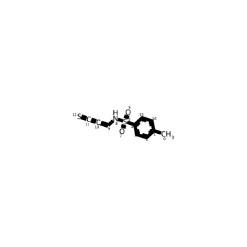 Cc1ccc(S(=O)(=O)NC=C=C=S)cc1